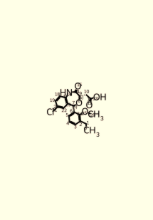 CCc1cccc([C@@H]2O[C@@H](CC(=O)O)C(=O)Nc3ccc(Cl)cc32)c1OC